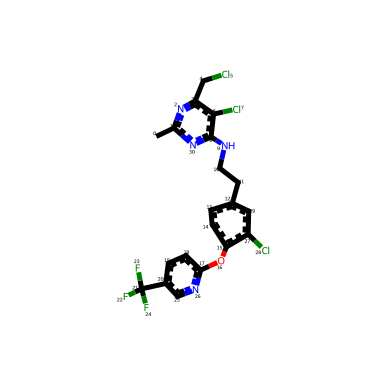 Cc1nc(CCl)c(Cl)c(NCCc2ccc(Oc3ccc(C(F)(F)F)cn3)c(Cl)c2)n1